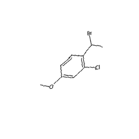 COc1ccc(C(C)Br)c(Cl)c1